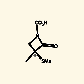 CS[C@@]1(C)CN(C(=O)O)C1=O